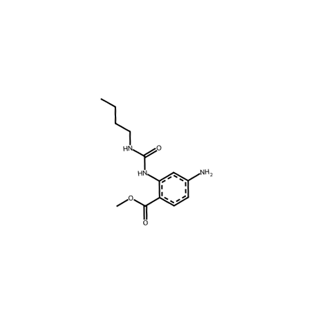 CCCCNC(=O)Nc1cc(N)ccc1C(=O)OC